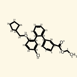 CCOC(=O)c1cccc(-c2ccccc2-c2cc(Cl)ccc2OCC2CCCC2)c1